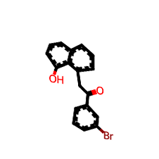 O=C(Cc1cccc2cccc(O)c12)c1cccc(Br)c1